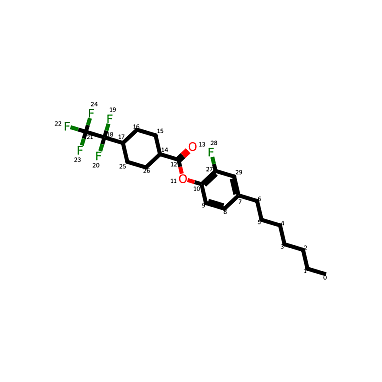 CCCCCCCc1ccc(OC(=O)C2CCC(C(F)(F)C(F)(F)F)CC2)c(F)c1